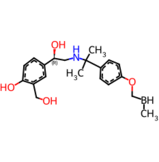 CBCOc1ccc(C(C)(C)NC[C@H](O)c2ccc(O)c(CO)c2)cc1